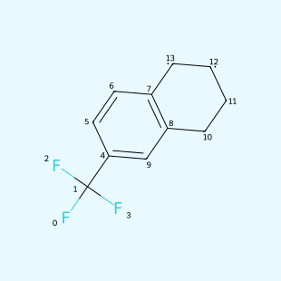 FC(F)(F)c1ccc2c(c1)CC[CH][CH]2